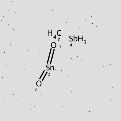 C.[O]=[Sn]=[O].[SbH3]